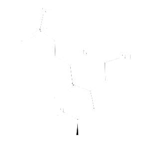 NCCC(C[C@H](N)C(=O)O)C(=O)[C@@H](N)CCC(N)=O